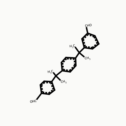 CC(C)(c1ccc(C=O)cc1)c1ccc(C(C)(C)c2cccc(C=O)c2)cc1